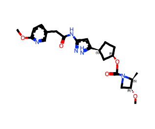 COc1ccc(CC(=O)Nc2cc([C@H]3CC[C@@H](OC(=O)N4C[C@@H](OC)[C@@H]4C)C3)[nH]n2)cn1